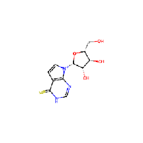 OC[C@H]1O[C@@H](n2ccc3c(=S)[nH]cnc32)[C@@H](O)[C@@H]1O